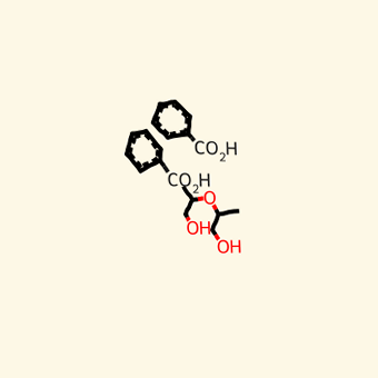 CC(CO)OC(C)CO.O=C(O)c1ccccc1.O=C(O)c1ccccc1